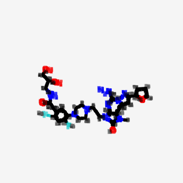 Cn1c(=O)n(CCN2CCN(c3cc(C(=O)NCC(O)CO)c(F)cc3F)CC2)c2nc(N)n3nc(-c4ccco4)cc3c21